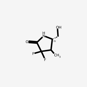 CC1[C@@H](CO)NC(=O)C1(F)F